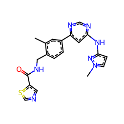 Cc1cc(-c2cc(Nc3ccn(C)n3)ncn2)ccc1CNC(=O)c1cncs1